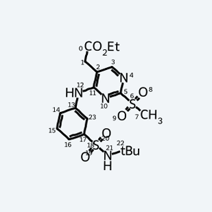 CCOC(=O)Cc1cnc(S(C)(=O)=O)nc1Nc1cccc(S(=O)(=O)NC(C)(C)C)c1